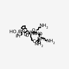 CC(C)C[C@H](NC(=O)[C@H](CC1CCCC1)NC(=O)[C@@H]1C/C=C/C[C@H](N)C(=O)N[C@@H](CCCCN)C(=O)N[C@@H](CCCCN)C(=O)N1)C(=O)O